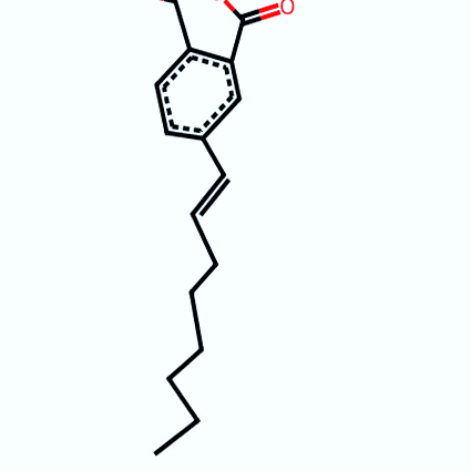 CCCCCCC=Cc1ccc2c(c1)C(=O)OC2=O